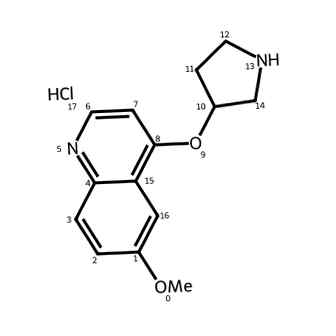 COc1ccc2nccc(OC3CCNC3)c2c1.Cl